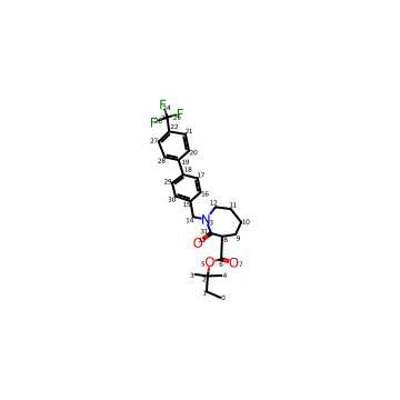 CCC(C)(C)OC(=O)C1CCCCN(Cc2ccc(-c3ccc(C(F)(F)F)cc3)cc2)C1=O